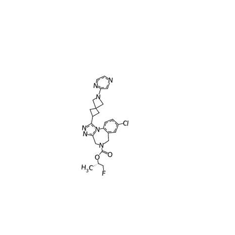 C[C@@H](CF)OC(=O)N1Cc2cc(Cl)ccc2-n2c(nnc2C2CC3(C2)CN(c2cnccn2)C3)C1